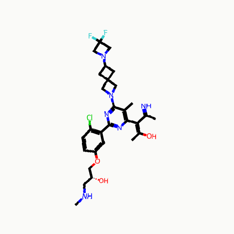 CNC[C@@H](O)COc1ccc(Cl)c(-c2nc(/C(C(C)=N)=C(\C)O)c(C)c(N3CC4(CC(N5CC(F)(F)C5)C4)C3)n2)c1